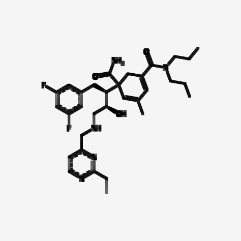 CCCN(CCC)C(=O)C1=CC(C)=CC(C(N)=O)([C@H](Cc2cc(F)cc(F)c2)[C@@H](O)CNCc2ccnc(CC)n2)C1